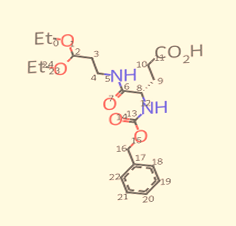 CCOC(CCNC(=O)[C@H](CCC(=O)O)NC(=O)OCc1ccccc1)OCC